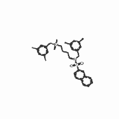 Cc1cc(C)cc(CN(CCCC[N+](C)(C)Cc2cc(C)cc(C)c2)S(=O)(=O)c2ccc3ccccc3c2)c1